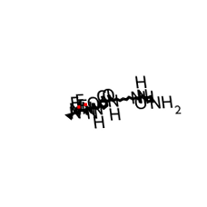 Cn1c(-c2cn(C3CC3)nc2C(F)(F)F)cnc1C(=O)Nc1ccc(C(=O)NCCCCCCNC(=O)N[C@H]2C[C@@H](N)C2)c(Cl)c1